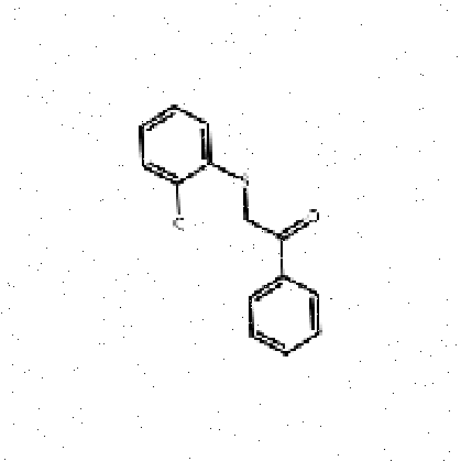 O=C(CSc1ccccc1Cl)c1ccccc1